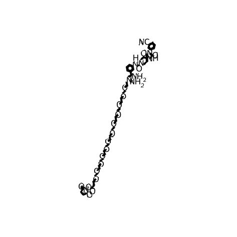 N#Cc1cccc(N2C(=O)NC3(CCN(C(=O)Nc4cccc(/C(N)=C/N(N)CCOCCOCCOCCOCCOCCOCCOCCOCCOCCOCCOCCOCCC(=O)ON5C(=O)CCC5=O)c4)CC3)C2=O)c1